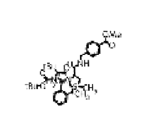 COC(=O)c1ccc(CNC(=O)C2C[Si](C)(C)C[N@@+]2(C(=O)[C@@H](NC(=O)OC(C)(C)C)C(C)(C)C)[C@H](C)c2ccccc2F)cc1